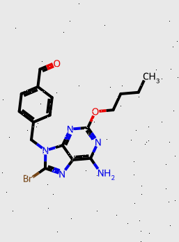 CCCCOc1nc(N)c2nc(Br)n(Cc3ccc(C=O)cc3)c2n1